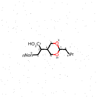 CCCCCCCCCCC(C(=O)O)C1COC(CC(C)C)OC1